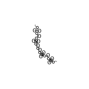 CCc1cccc(C2C(=O)c3ccc(C(=O)c4ccc5c(c4)C(=O)N(c4cccc(Oc6cccc(Oc7cccc(N8C(=O)c9ccc(C(=O)c%10ccc%11c(c%10)C(=O)N(c%10cccc(CC)c%10)C%11=O)cc9C8=O)c7)c6)c4)C5=O)cc3C2=O)c1